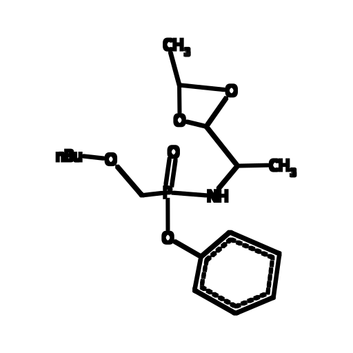 CCCCOCP(=O)(NC(C)C1OC(C)O1)Oc1ccccc1